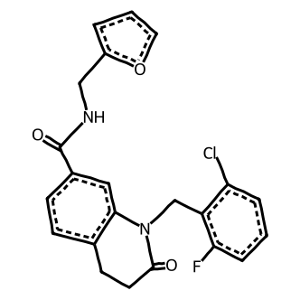 O=C(NCc1ccco1)c1ccc2c(c1)N(Cc1c(F)cccc1Cl)C(=O)CC2